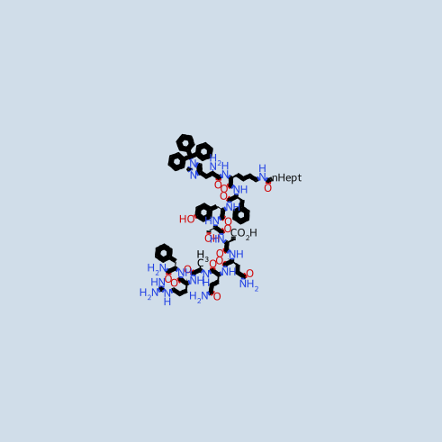 CCCCCCCC(=O)NCCCC[C@H](NC(=O)[C@@H](N)Cc1cn(C(c2ccccc2)(c2ccccc2)c2ccccc2)cn1)C(=O)N[C@@H](Cc1ccccc1)C(=O)N[C@@H](Cc1ccc(O)cc1)C(=O)N[C@@H](CO)C(=O)N[C@@H](CC(=O)O)C(=O)N[C@@H](CCC(N)=O)C(=O)N[C@@H](CCC(N)=O)C(=O)N[C@@H](C)C(=O)N[C@@H](CCCNC(=N)N)C(=O)N[C@@H](Cc1ccccc1)C(N)=O